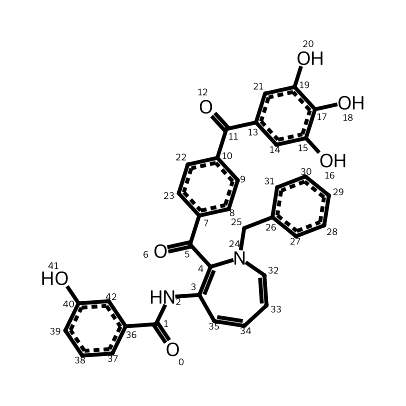 O=C(NC1=C(C(=O)c2ccc(C(=O)c3cc(O)c(O)c(O)c3)cc2)N(Cc2ccccc2)C=CC=C1)c1cccc(O)c1